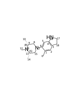 Cc1cc2c(cc1N1C[C@@H](C)N(C)[C@@H](C)C1)NCC2